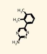 Cc1cccc(-c2cnc(N)nn2)c1C